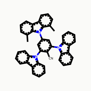 Cc1cccc2c3cccc(C)c3n(-c3cc(-n4c5ccccc5c5ccccc54)c(C#N)c(-n4c5ccccc5c5ccccc54)c3)c12